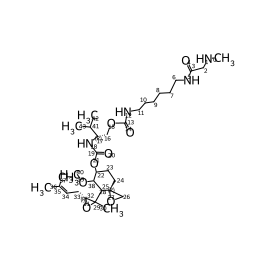 CNCC(=O)NCCCCCCNC(=O)OC[C@H](NC(=O)OC1CC[C@]2(CO2)C(C2(C)O[C@@H]2CC=C(C)C)C1OC)C(C)C